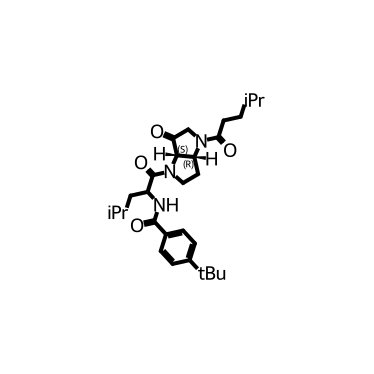 CC(C)CCC(=O)N1CC(=O)[C@@H]2[C@H]1CCN2C(=O)C(CC(C)C)NC(=O)c1ccc(C(C)(C)C)cc1